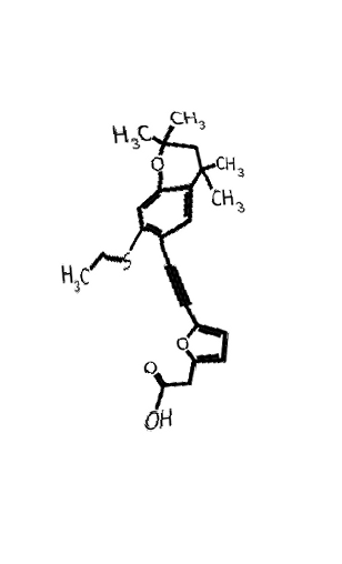 CCSc1cc2c(cc1C#Cc1ccc(CC(=O)O)o1)C(C)(C)CC(C)(C)O2